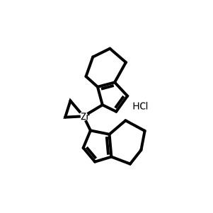 C1=C[CH]([Zr]2([CH]3C=CC4=C3CCCC4)[CH2][CH2]2)C2=C1CCCC2.Cl